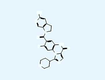 O=C(c1cc2[nH]c(=O)c3cnc(C4CCOCC4)n3c2cc1F)N1CCc2cc(O)ncc21